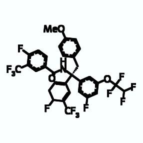 COc1ccc(C[C@@](NC(=O)c2ccc(F)c(C(F)(F)F)c2)(C2=CCC(F)C(C(F)(F)F)=C2)c2cc(F)cc(OC(F)(F)C(F)F)c2)cc1